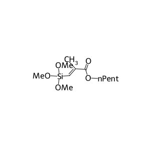 CCCCCOC(=O)C(C)=C[Si](OC)(OC)OC